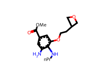 CCCNc1c(N)cc(C(=O)OC)cc1OCCC1COC1